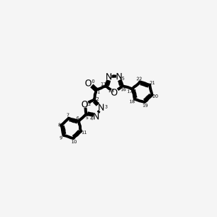 O=C(c1nnc(-c2ccccc2)o1)c1nnc(-c2ccccc2)o1